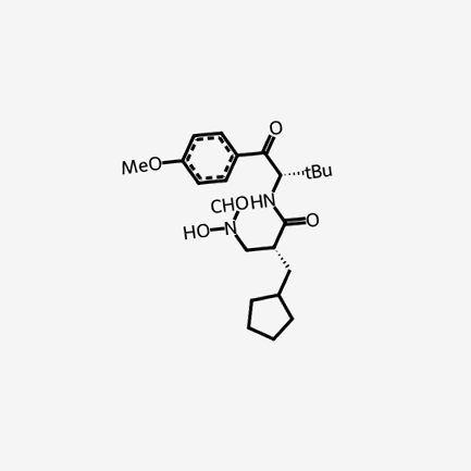 COc1ccc(C(=O)[C@@H](NC(=O)[C@H](CC2CCCC2)CN(O)C=O)C(C)(C)C)cc1